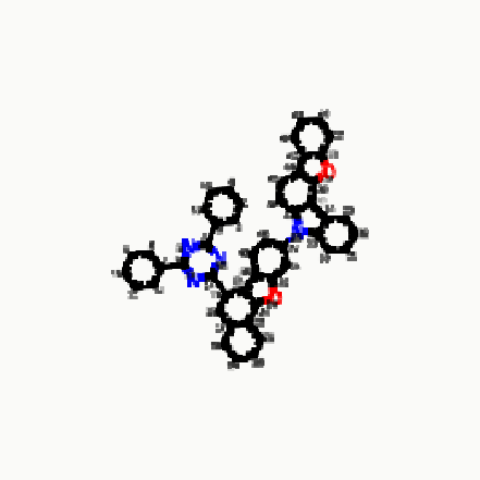 c1ccc(-c2nc(-c3ccccc3)nc(-c3cc4ccccc4c4oc5cc(-n6c7ccccc7c7c8oc9ccccc9c8ccc76)ccc5c34)n2)cc1